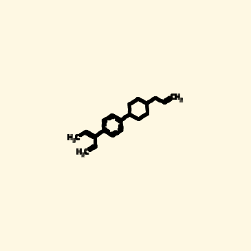 C=CCC1CCC(c2ccc(/C(C=C)=C/C)cc2)CC1